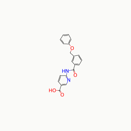 O=C(O)c1ccc(NC(=O)c2cccc(COc3ccccc3)c2)nc1